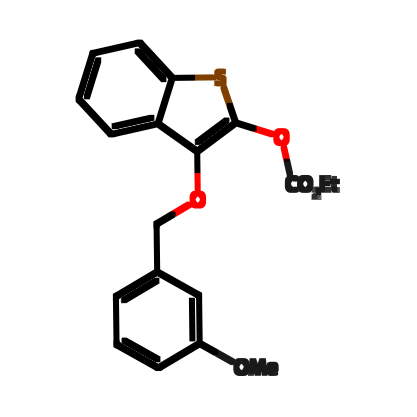 CCOC(=O)Oc1sc2ccccc2c1OCc1cccc(OC)c1